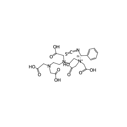 O=C(O)CN(CCN(CC(=O)O)CC(=O)O)CC[N+](CC(=O)O)(CC(=O)O)[C@H](N=C=S)c1ccccc1